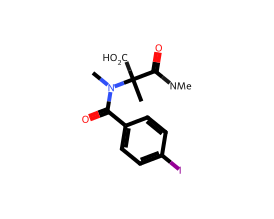 CNC(=O)C(C)(C(=O)O)N(C)C(=O)c1ccc(I)cc1